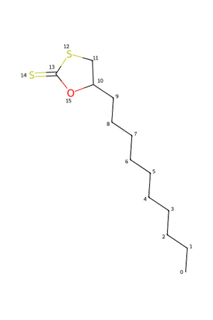 CCCCCCCCCCC1CSC(=S)O1